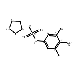 C1CCSC1.Cc1cc(OS(C)(=O)=O)cc(C)c1O